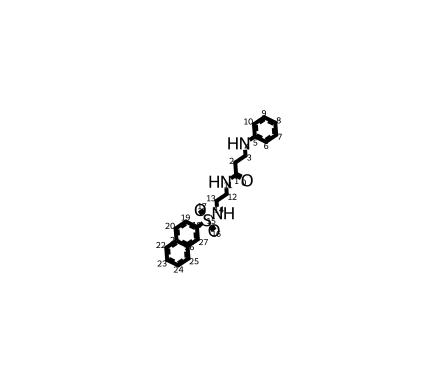 O=C(CCNc1ccccc1)NCCNS(=O)(=O)c1ccc2ccccc2c1